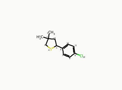 CC1(C)CSC(c2ccc(Cl)cc2)C1